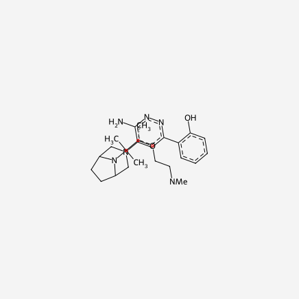 CNCCO[C@@H](C)C(C)(C)N1C2CCC1CN(c1cc(-c3ccccc3O)nnc1N)C2